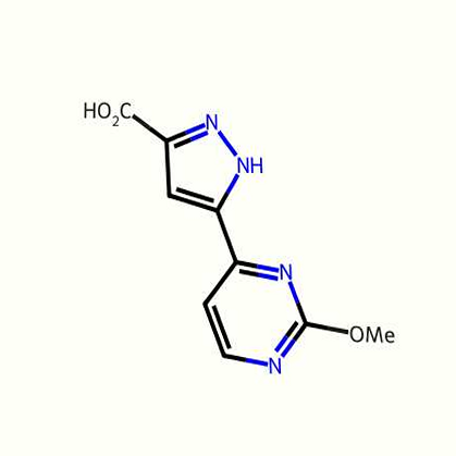 COc1nccc(-c2cc(C(=O)O)n[nH]2)n1